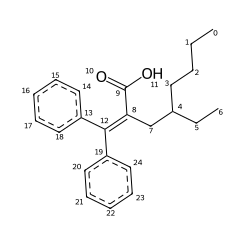 CCCCC(CC)CC(C(=O)O)=C(c1ccccc1)c1ccccc1